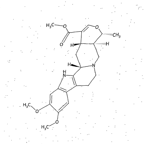 COC(=O)C1=CO[C@H](C)[C@H]2CN3CCc4c([nH]c5cc(OC)c(OC)cc45)[C@@H]3C[C@H]12